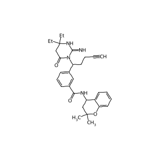 C#CCCC(c1cccc(C(=O)NC2CC(C)(C)Oc3ccccc32)c1)N1C(=N)NC(CC)(CC)CC1=O